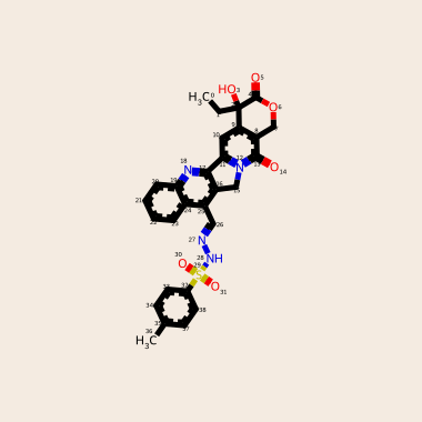 CCC1(O)C(=O)OCc2c1cc1n(c2=O)Cc2c-1nc1ccccc1c2C=NNS(=O)(=O)c1ccc(C)cc1